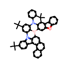 CC(C)(C)c1cc2c3c(c1)-n1c4cc(C(C)(C)C)ccc4c4c5c(ccc6ccccc65)cc(c41)B3c1cc3oc4ccccc4c3c3c1N2c1ccccc1C3(C)C